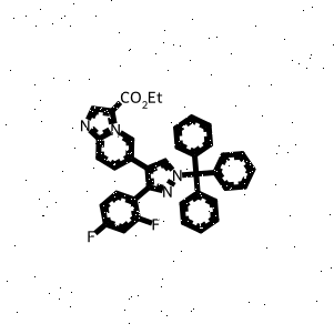 CCOC(=O)c1cnc2ccc(-c3cn(C(c4ccccc4)(c4ccccc4)c4ccccc4)nc3-c3ccc(F)cc3F)cn12